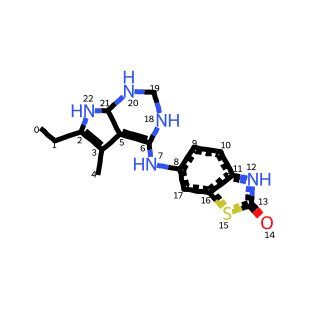 CCC1=C(C)C2=C(Nc3ccc4[nH]c(=O)sc4c3)NCNC2N1